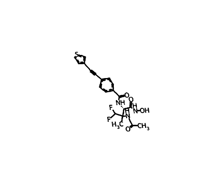 CC(=O)NC(C)(C(F)F)[C@H](NC(=O)c1ccc(C#Cc2ccsc2)cc1)C(=O)NO